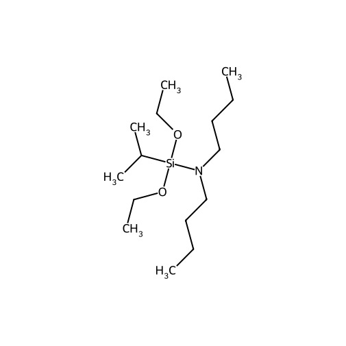 CCCCN(CCCC)[Si](OCC)(OCC)C(C)C